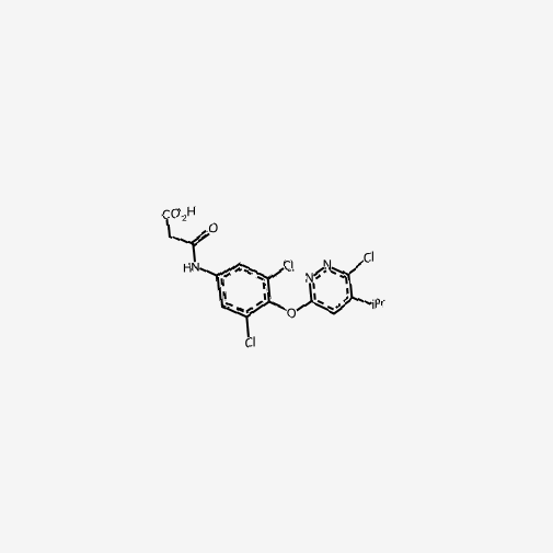 CC(C)c1cc(Oc2c(Cl)cc(NC(=O)CC(=O)O)cc2Cl)nnc1Cl